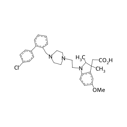 COc1ccc2c(c1)C(C)(CC(=O)O)C(C)N2CCN1CCN(Cc2ccccc2-c2ccc(Cl)cc2)CC1